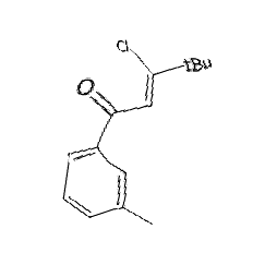 Cc1cccc(C(=O)/C=C(\Cl)C(C)(C)C)c1